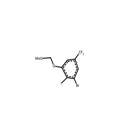 COCOc1cc(C(F)(F)F)cc(Br)c1I